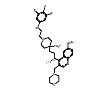 COc1ccc2ncc(CN3CCOCC3)c([C@@H](O)CCC3(C(=O)O)CCN(CCNc4cc(F)c(F)c(F)c4)CC3)c2c1